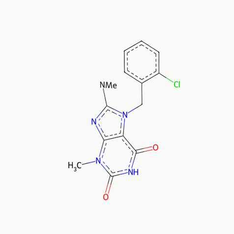 CNc1nc2c(c(=O)[nH]c(=O)n2C)n1Cc1ccccc1Cl